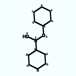 OB(OC1CCCCC1)C1CCCCC1